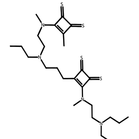 CCCN(CC)CCN(C)c1c(CCCN(CCC)CCN(C)c2c(C)c(=S)c2=S)c(=S)c1=S